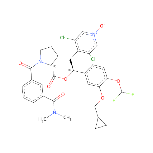 CN(C)C(=O)c1cccc(C(=O)N2CCC[C@@H]2C(=O)O[C@@H](Cc2c(Cl)c[n+]([O-])cc2Cl)c2ccc(OC(F)F)c(OCC3CC3)c2)c1